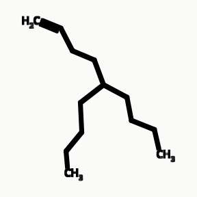 C=CCCC(CCCC)CCCC